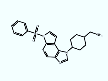 NCC1CCC(n2cnc3cnc4c(ccn4S(=O)(=O)c4ccccc4)c32)CC1